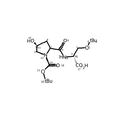 CC(C)(C)OC[C@@H](NC(=O)C1C[C@H](O)CN1C(=O)OC(C)(C)C)C(=O)O